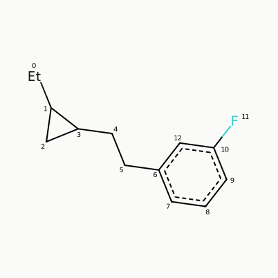 CCC1CC1CCc1cccc(F)c1